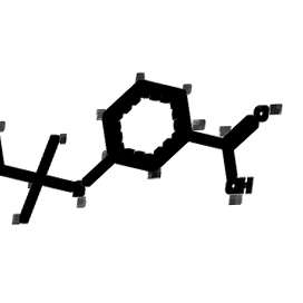 CCC(C)(C)Sc1cccc(C(=O)O)c1